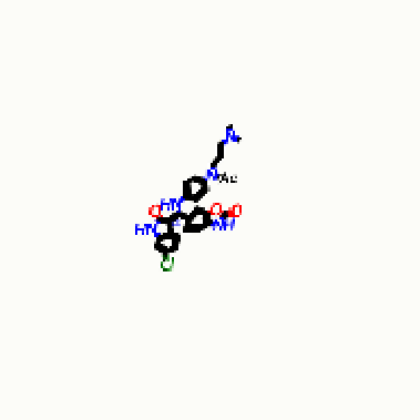 CC(=O)N(CCCN(C)C)c1ccc(N/C(=C2\C(=O)Nc3cc(Cl)ccc32)c2ccc3[nH]c(=O)oc3c2)cc1